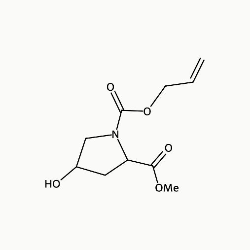 C=CCOC(=O)N1CC(O)CC1C(=O)OC